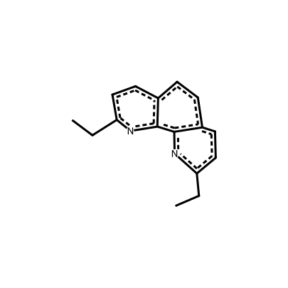 CCc1ccc2ccc3ccc(CC)nc3c2n1